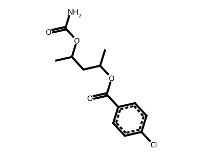 CC(CC(C)OC(=O)c1ccc(Cl)cc1)OC(N)=O